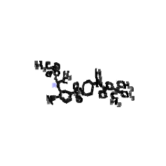 C/C(=C\c1cc(S(=O)(=O)N2CCC(NC(=O)OC(C)(C)C)CC2)ccc1C#N)COS(C)(=O)=O